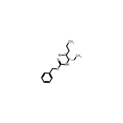 CCC[C@H](Br)[C@H](CC)NC(=O)OCc1ccccc1